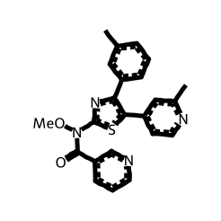 CON(C(=O)c1cccnc1)c1nc(-c2cccc(C)c2)c(-c2ccnc(C)c2)s1